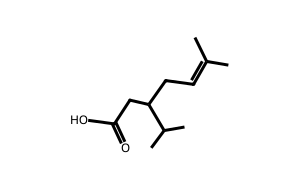 CC(C)=CCC(CC(=O)O)C(C)C